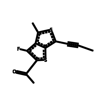 CC#Cc1sc(C)c2c(F)c(C(C)=O)sc12